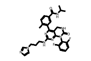 Cc1ccc(C(=O)NC(C)C)cc1-c1nc(NCCCn2ccnc2)nc2c1CNC(=O)N2c1c(F)cccc1F